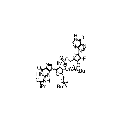 CO[C@H]1[C@@H](NS(=O)(=O)OC[C@H]2O[C@@H](n3cnc4c(=O)[nH]cnc43)[C@H](F)C2O[Si](C)(C)C(C)(C)C)[C@H](n2cnc3c(=O)[nH]c(NC(=O)C(C)C)nc32)O[C@@H]1CO[Si](C)(C)C(C)(C)C